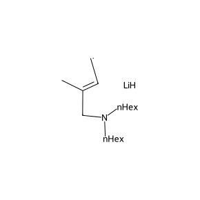 [CH2]C=C(C)CN(CCCCCC)CCCCCC.[LiH]